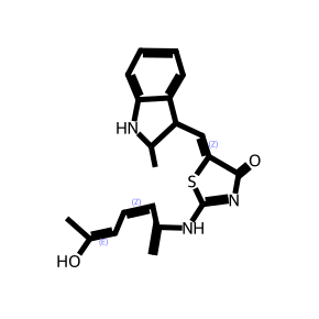 C=C(/C=C\C=C(/C)O)NC1=NC(=O)/C(=C/C2c3ccccc3NC2C)S1